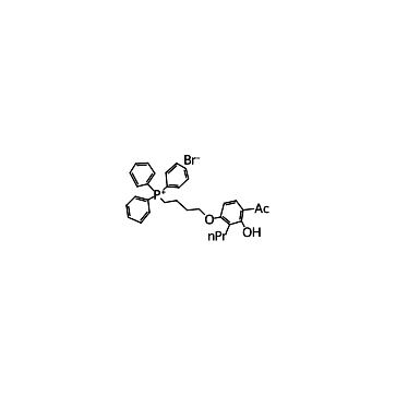 CCCc1c(OCCCC[P+](c2ccccc2)(c2ccccc2)c2ccccc2)ccc(C(C)=O)c1O.[Br-]